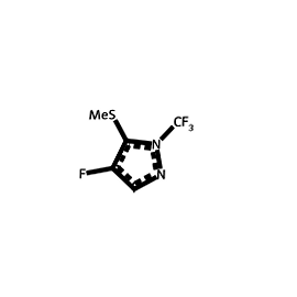 CSc1c(F)[c]nn1C(F)(F)F